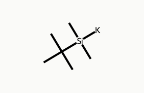 CC(C)(C)[Si](C)(C)[K]